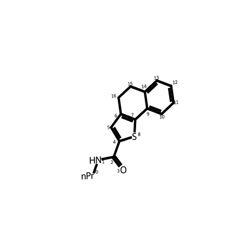 CCCNC(=O)c1cc2c(s1)-c1ccccc1CC2